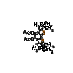 CC(=O)Oc1c(OC(C)=O)c2cc([Si](C)(C)C)sc2c2sc([Si](C)(C)C)cc12